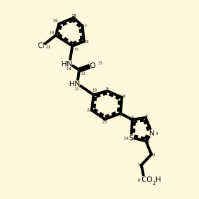 O=C(O)CCc1ncc(-c2ccc(NC(=O)Nc3ccccc3Cl)cc2)s1